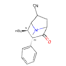 CCCC[C@H]1C2C(C#N)CC(C(=O)[C@@H]1c1ccccc1)N2C